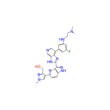 CN(C)CCNc1cc(F)cc(-c2cncc3[nH]c(-c4n[nH]c5ccc(-c6cn(C)nc6CO)nc45)nc23)c1